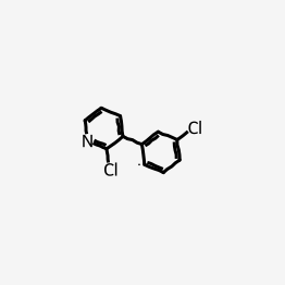 Clc1cc[c]c(-c2cccnc2Cl)c1